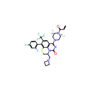 C=CC(=O)N1[C@H](C)CN(c2nc(=O)n3c4c(c(-c5ccc(F)cc5F)c(C(F)(F)F)cc24)SCC3CN2CCC2)C[C@@H]1C